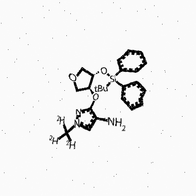 [2H]C([2H])([2H])n1cc(N)c(O[C@H]2COC[C@@H]2O[Si](c2ccccc2)(c2ccccc2)C(C)(C)C)n1